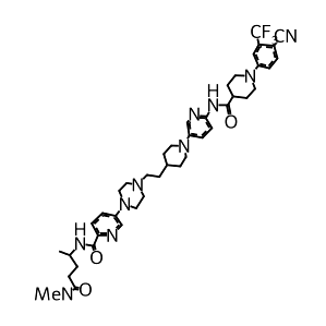 CNC(=O)CCC(C)NC(=O)c1ccc(N2CCN(CCC3CCN(c4ccc(NC(=O)C5CCN(c6ccc(C#N)c(C(F)(F)F)c6)CC5)nc4)CC3)CC2)cn1